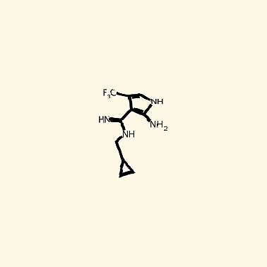 N=C(NCC1CC1)c1c(C(F)(F)F)c[nH]c1N